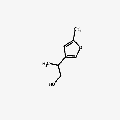 Cc1cc(C(C)CO)co1